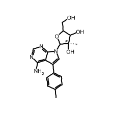 Cc1ccc(-c2cn(C3OC(CO)C(O)[C@@]3(C)O)c3ncnc(N)c23)cc1